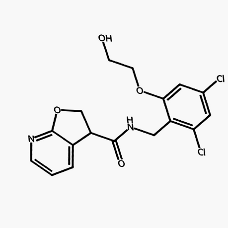 O=C(NCc1c(Cl)cc(Cl)cc1OCCO)C1COc2ncccc21